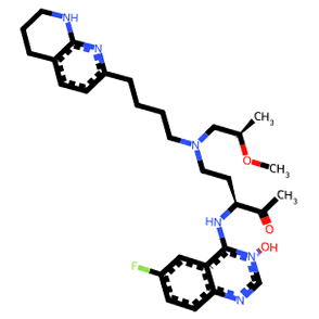 CO[C@H](C)CN(CCCCc1ccc2c(n1)NCCC2)CC[C@H](Nc1c2cc(F)ccc2nc[n+]1O)C(C)=O